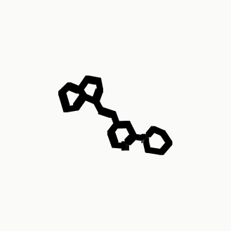 C(=Cc1cccc2ccccc12)c1ccnc(N2CCCCC2)c1